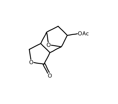 CC(=O)OC1CC2OC1C1C(=O)OCC21